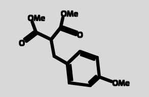 COC(=O)C(Cc1ccc(OC)cc1)C(=O)OC